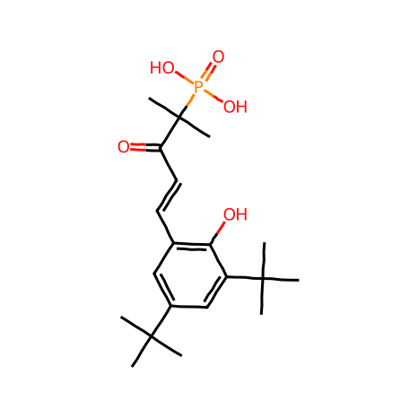 CC(C)(C)c1cc(C=CC(=O)C(C)(C)P(=O)(O)O)c(O)c(C(C)(C)C)c1